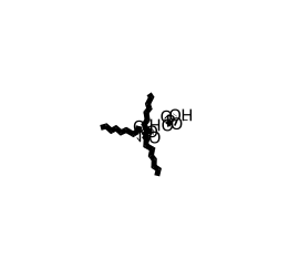 CCCCCCCC(=O)[N+](C)(C(=O)CCCCCCC)C(=O)CCCCCCC.O=P([O-])(O)O